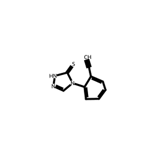 C#Cc1ccccc1-n1cn[nH]c1=S